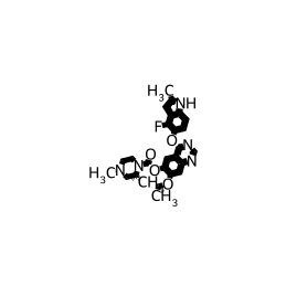 CCOc1cc2ncnc(Oc3ccc4[nH]c(C)cc4c3F)c2cc1OC(=O)N1CCN(C)C[C@H]1C